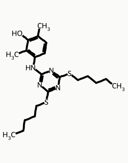 CCCCCSc1nc(Nc2ccc(C)c(O)c2C)nc(SCCCCC)n1